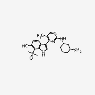 CP(C)(=O)c1c(C#N)ccc2c(-c3nc(N[C@H]4CCC[C@H](N)C4)ncc3C(F)(F)F)c[nH]c12